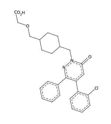 O=C(O)COCC1CCC(Cn2nc(-c3ccccc3)c(-c3ccccc3Cl)cc2=O)CC1